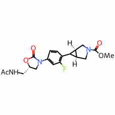 COC(=O)N1C[C@@H]2C(c3ccc(N4C[C@H](CNC(C)=O)OC4=O)cc3F)[C@@H]2C1